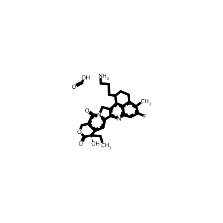 CC[C@@]1(O)C(=O)OCc2c1cc1n(c2=O)Cc2c-1nc1cc(F)c(C)c3c1c2C(CCCN)CC3.O=CO